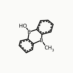 CB1c2ccccc2B(O)c2ccccc21